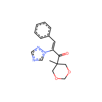 CC1(C(=O)C(=Cc2ccccc2)n2cncn2)COCOC1